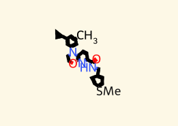 CSc1ccc(CNC(=O)c2ccc3c(n2)OCCN3c2cc(C)cc(C3CC3)c2)cc1